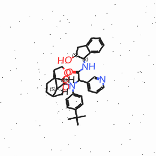 CC(C)(C)c1ccc(N(C(=O)[C@H]2C3CCC4C2CO[C@@H]4OC3)C(C(=O)N[C@@H]2c3ccccc3C[C@@H]2O)c2cccnc2)cc1